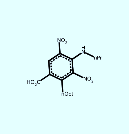 CCCCCCCCc1c(C(=O)O)cc([N+](=O)[O-])c(NCCC)c1[N+](=O)[O-]